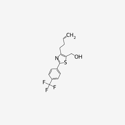 C=CCCc1nc(-c2ccc(C(F)(F)F)cc2)sc1CO